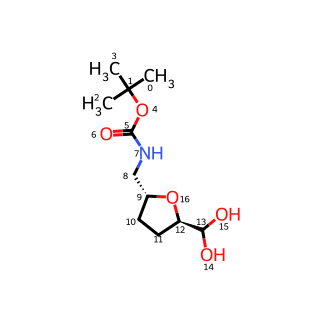 CC(C)(C)OC(=O)NC[C@H]1CC[C@H](C(O)O)O1